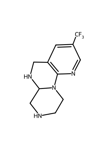 FC(F)(F)c1cnc2c(c1)CNC1CNCCN21